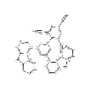 N#Cc1cc(C#N)c(-c2cc(-c3cccc4oc5ccccc5c34)cc(-c3cccc4oc5ccccc5c34)c2)c(C#N)c1